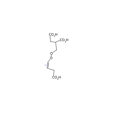 O=C(O)C/C=C\OOCC(CC(=O)O)C(=O)O